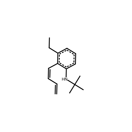 C=C/C=C\c1c(CC)cccc1NC(C)(C)C